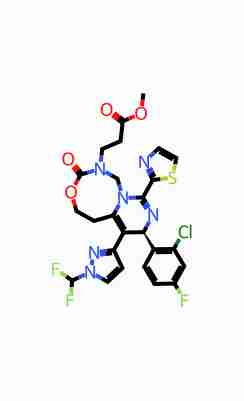 COC(=O)CCN1CN2C(c3nccs3)=N[C@@H](c3ccc(F)cc3Cl)C(c3ccn(C(F)F)n3)=C2CCOC1=O